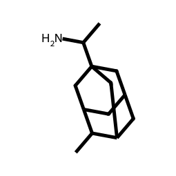 CC1C2CC3CC1CC(C(C)N)(C3)C2